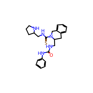 O=C(NCC1Cc2ccccc2CN1C(=S)NCC1CCCN1)Nc1ccccc1